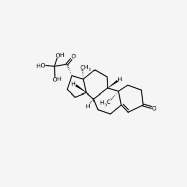 C[C@]12CC[C@H]3[C@@H](CCC4=CC(=O)CC[C@@]43C)[C@@H]1CC[C@@H]2C(=O)C(O)(O)O